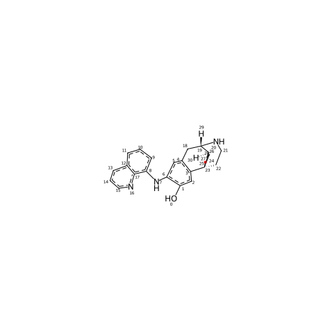 Oc1cc2c(cc1Nc1cccc3cccnc13)C[C@@H]1NCC[C@]23CCCC[C@H]13